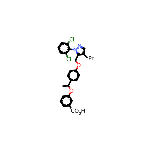 CC(C)c1cnn(-c2c(Cl)cccc2Cl)c1COc1ccc(C(C)Oc2cccc(C(=O)O)c2)cc1